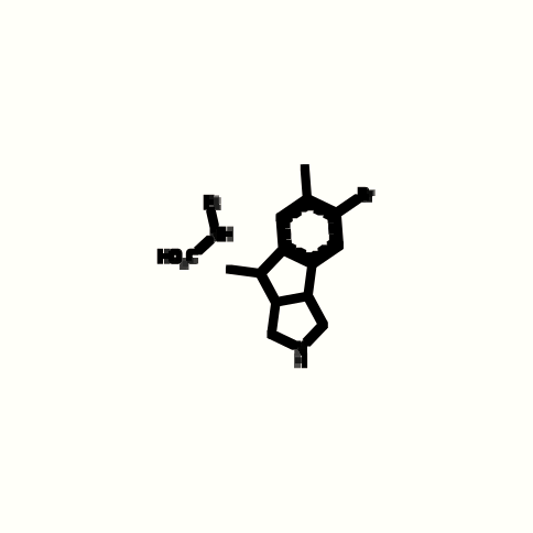 CCNC(=O)O.Cc1cc2c(cc1Br)C1CNCC1C2C